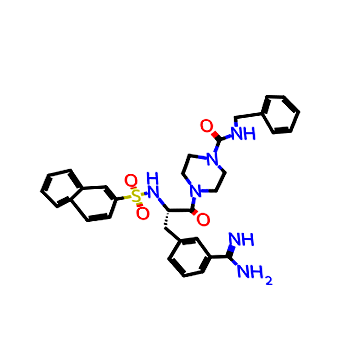 N=C(N)c1cccc(C[C@H](NS(=O)(=O)c2ccc3ccccc3c2)C(=O)N2CCN(C(=O)NCc3ccccc3)CC2)c1